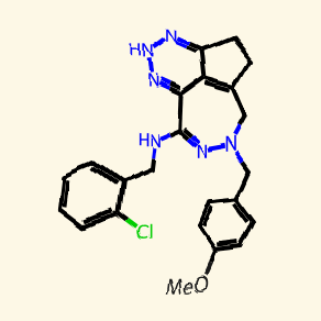 COc1ccc(CN2CC3=C4C(=NNN=C4C(NCc4ccccc4Cl)=N2)CC3)cc1